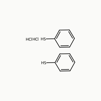 Cl.Cl.Sc1ccccc1.Sc1ccccc1